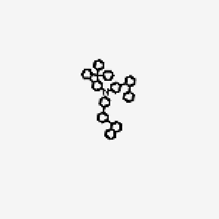 c1ccc(-c2ccccc2-c2ccc(N(c3ccc(-c4cccc(-c5cccc6ccccc56)c4)cc3)c3ccc4c(c3)C(c3ccccc3)(c3ccccc3)c3ccccc3-4)cc2)cc1